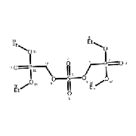 CCOP(=O)(COS(=O)(=O)OCP(=O)(OCC)OCC)OCC